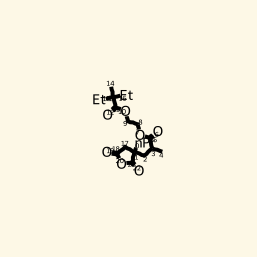 CCCC1(CC(C)C(=O)OCCOC(=O)C(C)(CC)CC)CC(=O)OC1=O